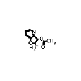 CC(=O)O[C@H]1c2ncccc2O[C@@H]1C